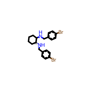 Brc1ccc(CNC2CCCC[C@H]2NCc2ccc(Br)cc2)cc1